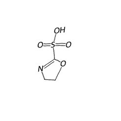 O=S(=O)(O)C1=NCCO1